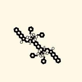 O=C1C(=Cc2cc3c(s2)C2=CC4C=C5OC(C(=O)OCc6ccccc6)(C(=O)OCc6ccccc6)C6=C(SC(C=C7C(=O)c8cc9cc%10ccccc%10cc9cc8C7=O)C6)C5=CC4C=C2OC3(C(=O)OCc2ccccc2)C(=O)OCc2ccccc2)C(=O)c2cc3cc4ccccc4cc3cc21